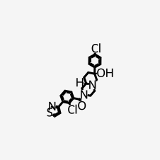 O=C(c1cccc(-c2ccsn2)c1Cl)N1CCN2C[C@@](O)(c3ccc(Cl)cc3)CC[C@@H]2C1